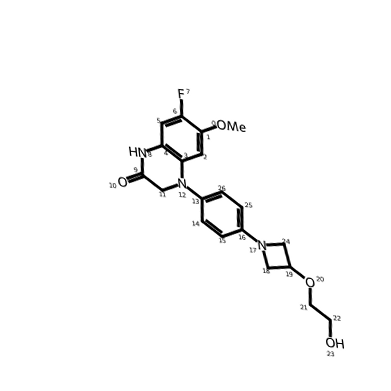 COc1cc2c(cc1F)NC(=O)CN2c1ccc(N2CC(OCCO)C2)cc1